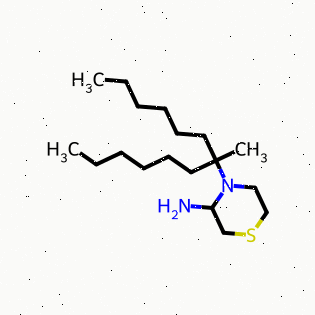 CCCCCCC(C)(CCCCCC)N1CCSCC1N